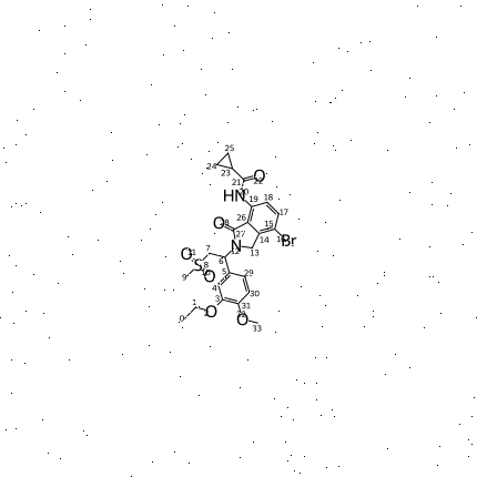 CCOc1cc(C(CS(C)(=O)=O)N2Cc3c(Br)ccc(NC(=O)C4CC4)c3C2=O)ccc1OC